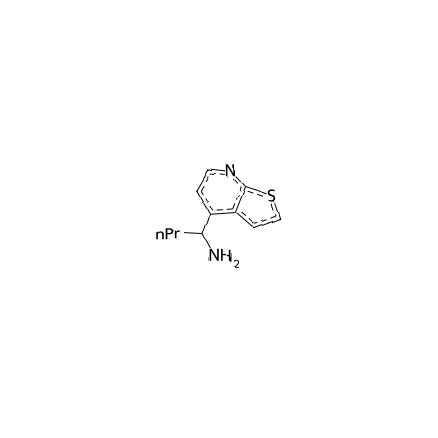 CCCC(N)c1ccnc2sccc12